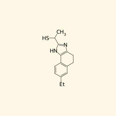 CCc1ccc2c(c1)CCc1nc(C(C)S)[nH]c1-2